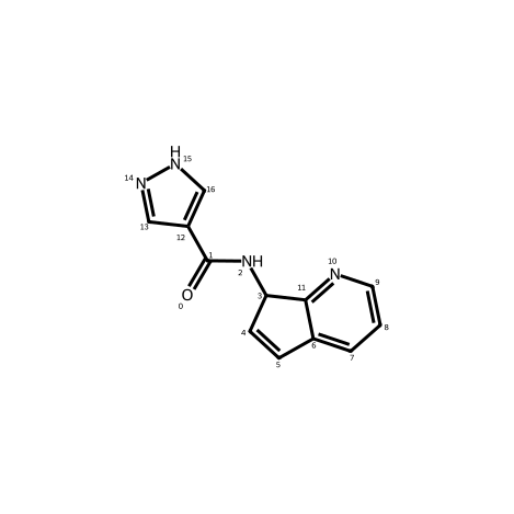 O=C(NC1C=Cc2cccnc21)c1cn[nH]c1